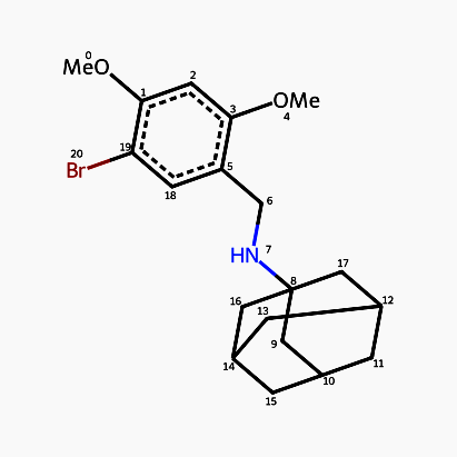 COc1cc(OC)c(CNC23CC4CC(CC(C4)C2)C3)cc1Br